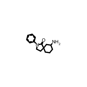 NC1CCCC2(CCN(c3ccccc3)C2=O)C1